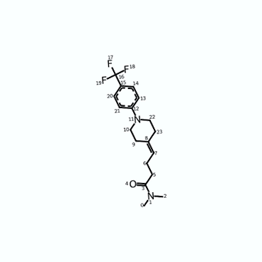 CN(C)C(=O)CCC=C1CCN(c2ccc(C(F)(F)F)cc2)CC1